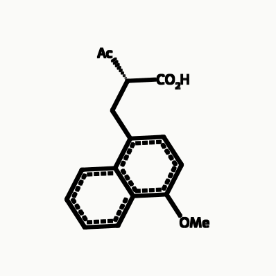 COc1ccc(C[C@H](C(C)=O)C(=O)O)c2ccccc12